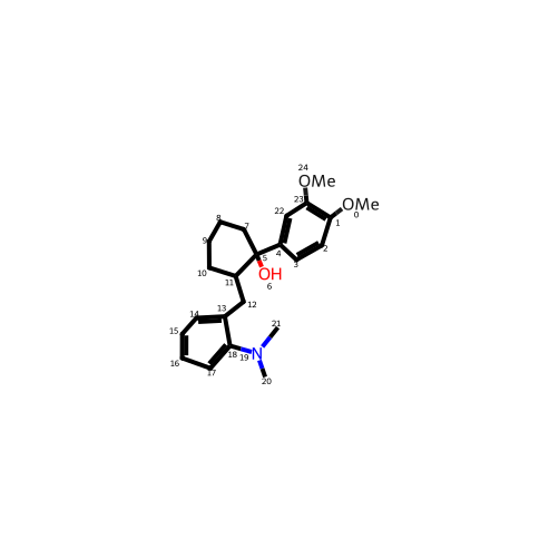 COc1ccc(C2(O)CCCCC2Cc2ccccc2N(C)C)cc1OC